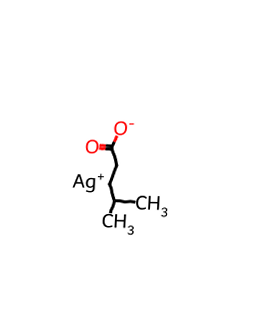 CC(C)CCC(=O)[O-].[Ag+]